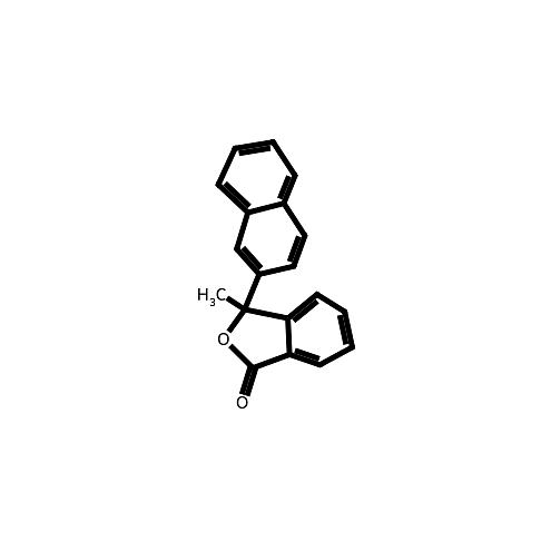 CC1(c2ccc3ccccc3c2)OC(=O)c2ccccc21